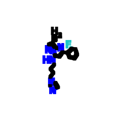 Bc1cnn2c(NCCCCn3ccnc3)cc(-c3ccccc3F)nc12